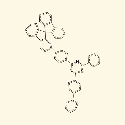 c1ccc(-c2ccc(-c3nc(-c4ccccc4)nc(-c4ccc(-c5ccc6c(c5)C5(c7ccccc7-c7ccccc75)c5ccccc5-6)cc4)n3)cc2)cc1